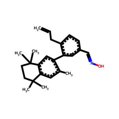 C=CCc1ccc(C=NO)cc1-c1cc2c(cc1C)C(C)(C)CCC2(C)C